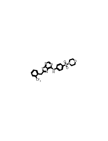 O=S(=O)(c1ccc(Nc2ncnc3sc(Cc4ccccc4C(F)(F)F)nc23)cc1)N1CCOCC1